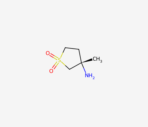 C[C@]1(N)CCS(=O)(=O)C1